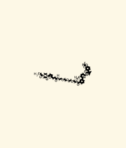 C=CC(=O)N1CCN(c2ccc(CCC(=O)NCCOCCOCCOCCNC(=O)c3cccc(-c4nc(NC(=O)C5(c6ccc7c(c6)OC(F)(F)O7)CC5)ccc4C)c3)o2)C(=O)C1